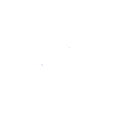 O=C(Nc1ccc([C@@H]2C[C@H]2NCCCc2ccccc2)cc1)c1ccccc1